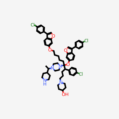 CC(C1CCNCC1)N1CCN(C(CCCCCOc2ccc3c(-c4ccc(Cl)cc4)coc3c2)(Oc2ccc3c(-c4ccc(Cl)cc4)coc3c2)C(CCCN2CCC(O)CC2)c2ccc(Cl)cc2)CC1